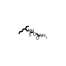 CCCCC(CC)CNC(=S)COCC(N)=O